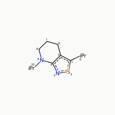 CC(C)c1snc2c1CCCN2C(C)C